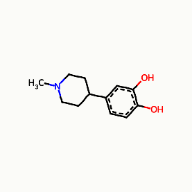 CN1CCC(c2ccc(O)c(O)c2)CC1